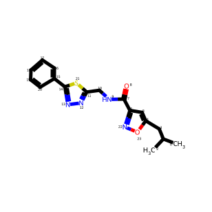 CC(C)Cc1cc(C(=O)NCc2nnc(-c3ccccc3)s2)no1